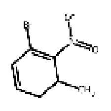 CC1CC=CC(Br)=C1[N+](=O)[O-]